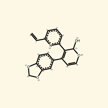 C=Cc1cccc(C2=C(c3ccc4c(c3)OCO4)C=COC2O)n1